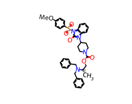 COc1ccc(S(=O)(=O)n2c(=O)n(C3CCN(C(=O)OC[C@H](C)N(Cc4ccccc4)Cc4ccccc4)CC3)c3ccccc32)cc1